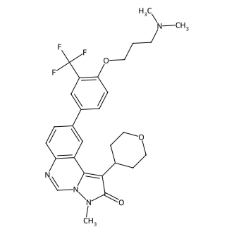 CN(C)CCCOc1ccc(-c2ccc3ncn4c(c(C5CCOCC5)c(=O)n4C)c3c2)cc1C(F)(F)F